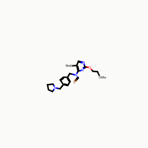 CNc1cnc(OCCOC)nc1N(C=S)Cc1ccc(CN2CCCC2)cc1